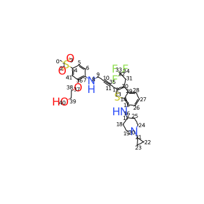 CS(=O)(=O)c1ccc(NCC#Cc2sc3c(NC4CCN(C5CC5)CC4)cccc3c2CC(F)(F)F)c(OCCO)c1